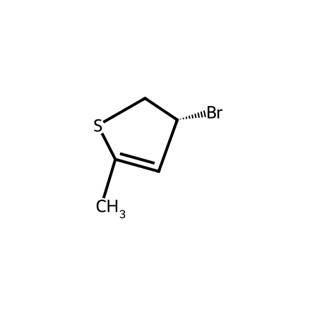 CC1=C[C@@H](Br)CS1